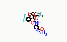 C[C@@H]1[C@H](c2ccc(F)c(F)c2O)[C@@H](C(=O)Nc2ccnc(C(N)=O)c2)O[C@]1(C)C(F)(F)F